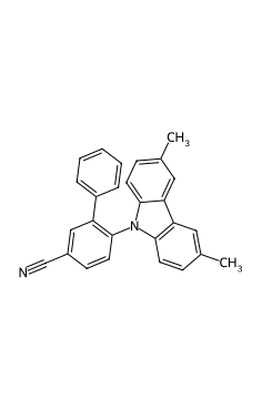 Cc1ccc2c(c1)c1cc(C)ccc1n2-c1ccc(C#N)cc1-c1ccccc1